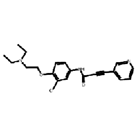 CCN(CC)CCOc1ccc(NC(=O)C#Cc2cccnc2)cc1Cl